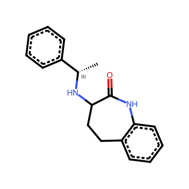 C[C@H](NC1CCc2ccccc2NC1=O)c1ccccc1